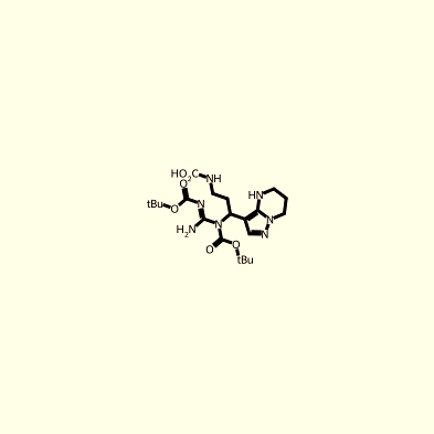 CC(C)(C)OC(=O)N=C(N)N(C(=O)OC(C)(C)C)C(CCNC(=O)O)c1cnn2c1NCCC2